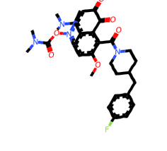 COc1cc2c3c(c1C(=O)N1CCC(Cc4ccc(F)cc4)CC1)C(=O)C(=O)c(c3N(C)C)n2OC(=O)N(C)C